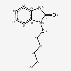 CCCCCSN1C(=O)[N]c2ccccc21